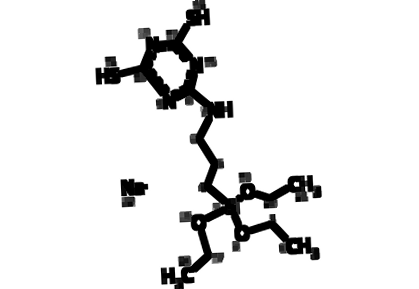 CCO[Si](CCCNc1nc(S)nc(S)n1)(OCC)OCC.[Na]